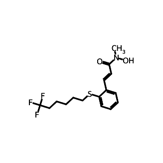 CN(O)C(=O)C=Cc1ccccc1SCCCCCC(F)(F)F